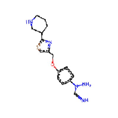 N=CN(N)c1ccc(OCc2csc(C3CCCNC3)n2)cc1